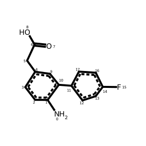 Nc1ccc(CC(=O)O)cc1-c1ccc(F)cc1